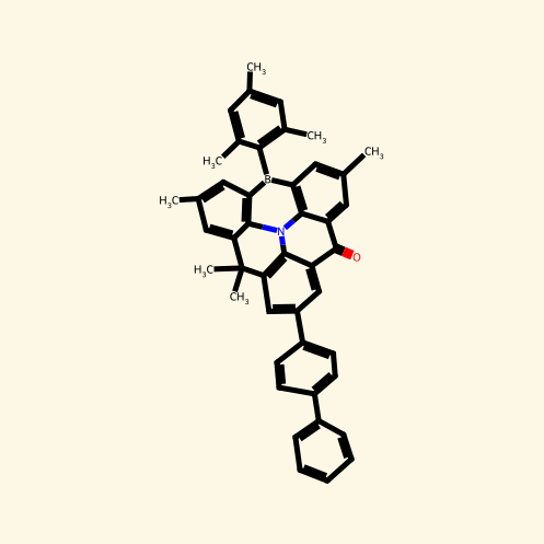 Cc1cc(C)c(B2c3cc(C)cc4c3-n3c5c2cc(C)cc5c(=O)c2cc(-c5ccc(-c6ccccc6)cc5)cc(c23)C4(C)C)c(C)c1